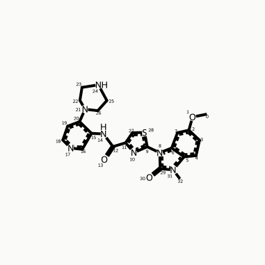 COc1ccc2c(c1)n(-c1nc(C(=O)Nc3cnccc3N3CCNCC3)cs1)c(=O)n2C